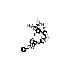 Cc1nc2c(F)cc(-c3cc(Nc4ncc(CN5C[C@H]6OCCN(C(=O)OCc7ccccc7)[C@H]6C5)cn4)ncc3F)cc2n1C(C)C